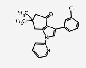 CC1(C)CC(=O)c2c(-c3cccc(Cl)c3)cn(-c3ccccn3)c2C1